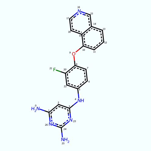 Nc1cc(Nc2ccc(Oc3cccc4cnccc34)c(F)c2)nc(N)n1